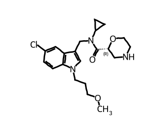 COCCCn1cc(CN(C(=O)[C@H]2CNCCO2)C2CC2)c2cc(Cl)ccc21